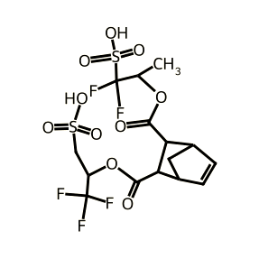 CC(OC(=O)C1C2C=CC(C2)C1C(=O)OC(CS(=O)(=O)O)C(F)(F)F)C(F)(F)S(=O)(=O)O